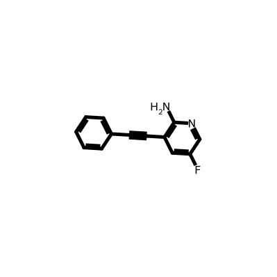 Nc1ncc(F)cc1C#Cc1ccccc1